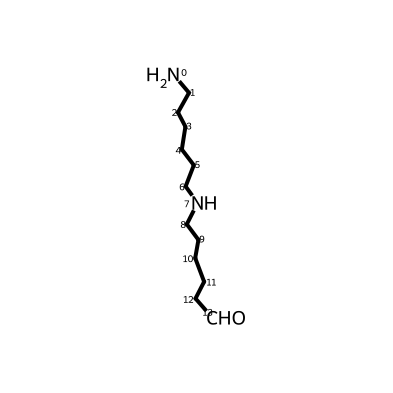 NCCCCCCNCCCCCC=O